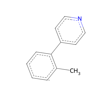 Cc1[c]cccc1-c1ccncc1